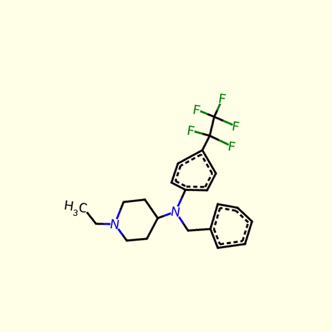 CCN1CCC(N(Cc2ccccc2)c2ccc(C(F)(F)C(F)(F)F)cc2)CC1